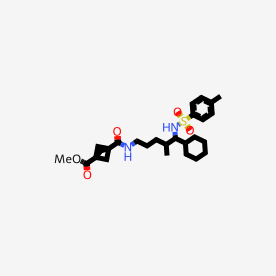 COC(=O)C12CC(C(=O)NCCCC(C)C(NS(=O)(=O)c3ccc(C)cc3)C3CCCCC3)(C1)C2